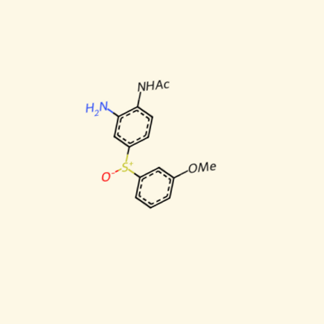 COc1cccc([S+]([O-])c2ccc(NC(C)=O)c(N)c2)c1